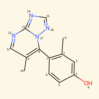 Cc1cc(O)ccc1-c1c(C)cnc2ncnn12